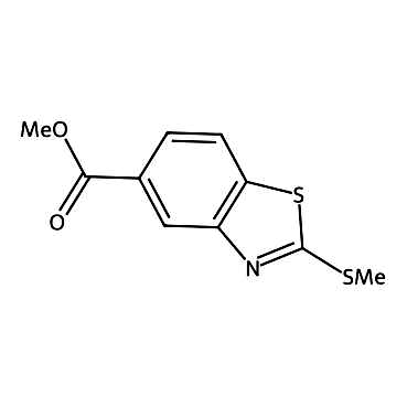 COC(=O)c1ccc2sc(SC)nc2c1